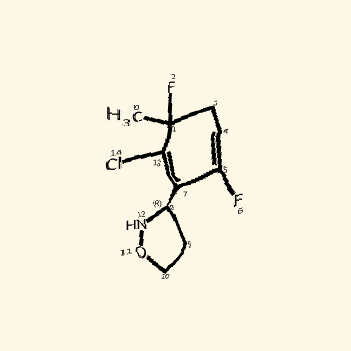 CC1(F)CC=C(F)C([C@H]2CCON2)=C1Cl